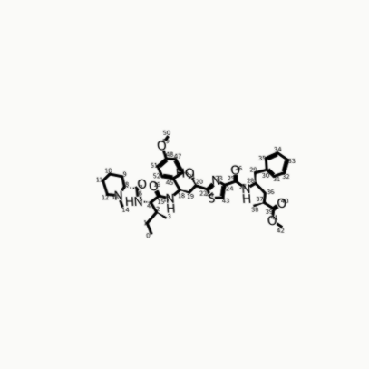 CC[C@H](C)[C@H](NC(=O)[C@H]1CCCCN1C)C(=O)N[C@H](C[C@@H](O)c1nc(C(=O)N[C@@H](Cc2ccccc2)C[C@H](C)C(=O)OC)cs1)c1ccc(OC)cc1